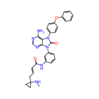 CNC1(C/C=C/C(=O)Nc2cccc(-n3c(=O)n(-c4ccc(Oc5ccccc5)cc4)c4c(N)ncnc43)c2)CC1